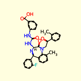 Cc1ccccc1C(=O)CN1C(=O)[C@H](NC(=O)Nc2cccc(C(=O)O)c2)N=C(c2ccccc2F)c2cccc(C)c21